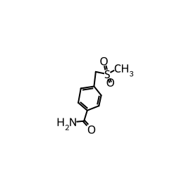 CS(=O)(=O)Cc1ccc(C(N)=O)cc1